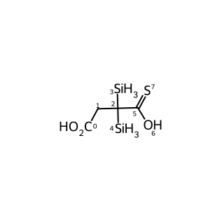 O=C(O)CC([SiH3])([SiH3])C(O)=S